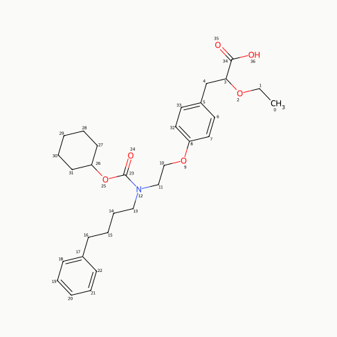 CCOC(Cc1ccc(OCCN(CCCCc2ccccc2)C(=O)OC2CCCCC2)cc1)C(=O)O